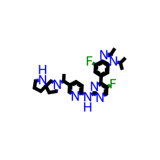 Cc1nc2c(F)cc(-c3nc(Nc4ccc(C(C)N5CCC6(CCCN6)C5)cn4)ncc3F)cc2n1C(C)C